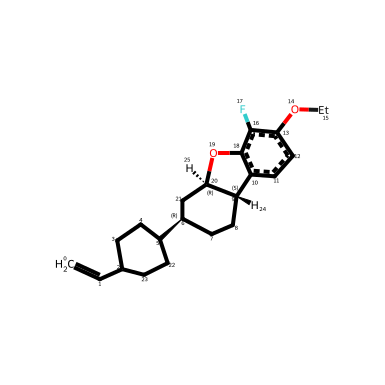 C=CC1CCC([C@@H]2CC[C@H]3c4ccc(OCC)c(F)c4O[C@@H]3C2)CC1